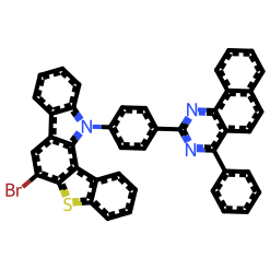 Brc1cc2c3ccccc3n(-c3ccc(-c4nc(-c5ccccc5)c5ccc6ccccc6c5n4)cc3)c2c2c1sc1ccccc12